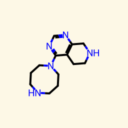 c1nc2c(c(N3CCCNCCC3)n1)CCNC2